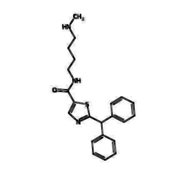 CNCCCCNC(=O)c1cnc(C(c2ccccc2)c2ccccc2)s1